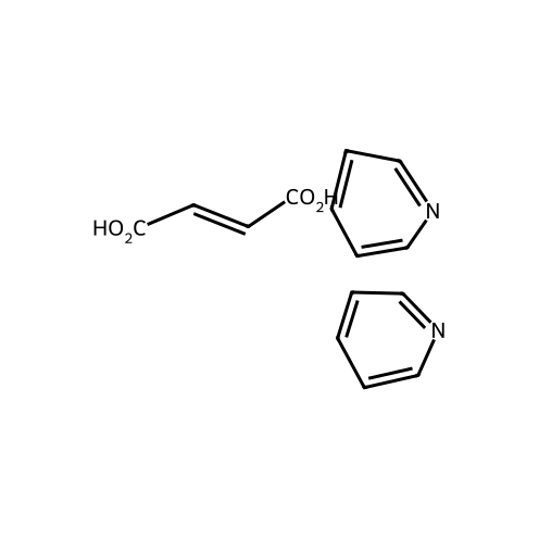 O=C(O)C=CC(=O)O.c1ccncc1.c1ccncc1